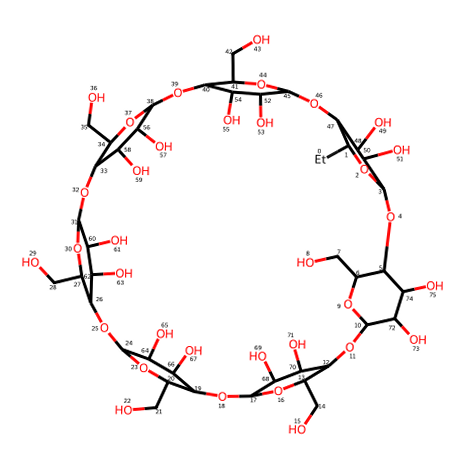 CCC1OC2OC3C(CO)OC(OC4C(CO)OC(OC5C(CO)OC(OC6C(CO)OC(OC7C(CO)OC(OC8C(CO)OC(OC1C(O)C2O)C(O)C8O)C(O)C7O)C(O)C6O)C(O)C5O)C(O)C4O)C(O)C3O